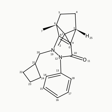 CC1(C)[C@@H]2CC[C@@]1(C)c1c2c(=O)n(-c2ccccc2)n1CC1CCC1